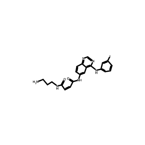 NCCCNC(=O)/C=C\C(=O)Nc1ccc2ncnc(Nc3cccc(I)c3)c2c1